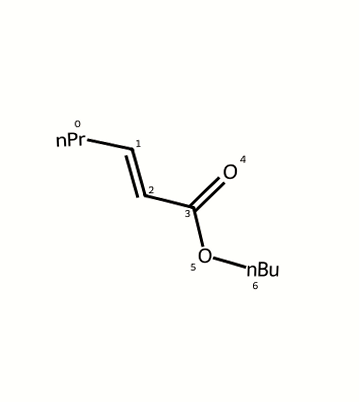 CCC/C=C/C(=O)OCCCC